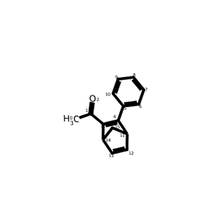 CC(=O)C1=C(c2ccccc2)C2C=CC1C2